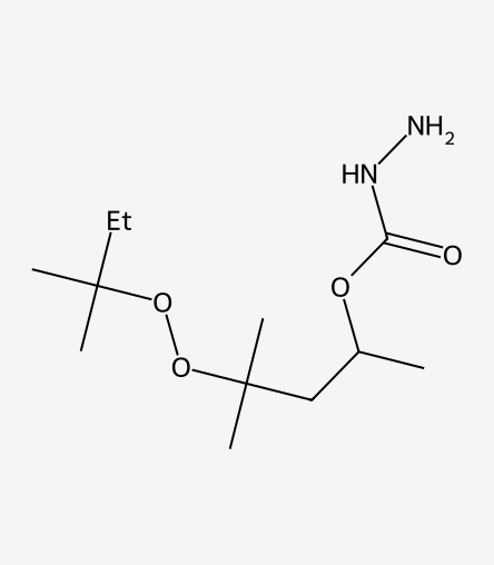 CCC(C)(C)OOC(C)(C)CC(C)OC(=O)NN